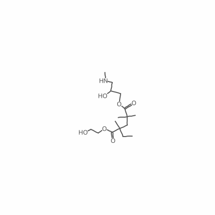 CCC(C)(CC(C)(C)C(=O)OCC(O)CNC)C(=O)OCCO